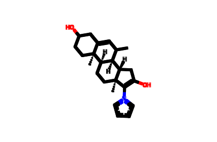 CC1C=C2CC(O)CC[C@]2(C)[C@@H]2CC[C@]3(C)C(n4cccc4)=C(O)C[C@H]3[C@H]12